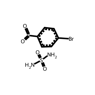 NS(N)(=O)=O.O=I(=O)c1ccc(Br)cc1